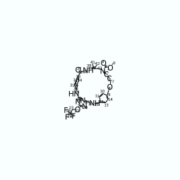 COC(=O)N1CCCOc2ccc(cc2)CNc2nc(nc(OCC(F)(F)F)n2)Nc2ccc(cc2)C(=O)NCC(C)(C)C1